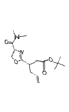 C=CCC(CC(=O)OC(C)(C)C)c1nc(C(=O)N(C)C)co1